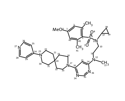 COc1cc(C)c(S(=O)(=O)N(CCN(C)c2cc(N3CCC4(CCN(c5ccncc5)CC4)CC3)ncn2)C2CC2)c(C)c1